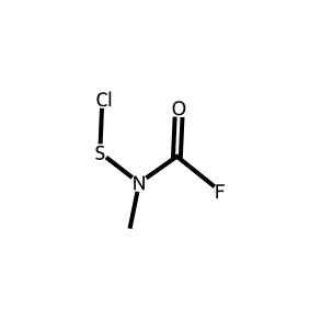 CN(SCl)C(=O)F